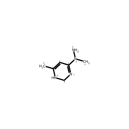 CC1=CC(N(C)N)=NCN1